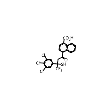 O=C(O)c1ccc(C(=O)CC(S)(c2cc(Cl)c(Cl)c(Cl)c2)C(F)(F)F)c2ccccc12